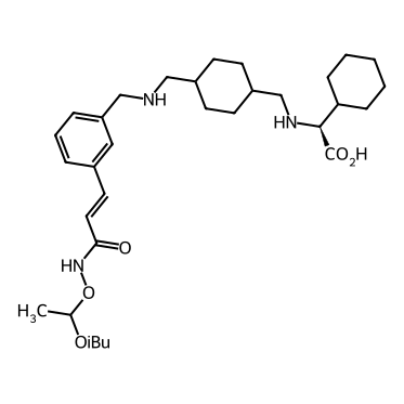 CC(C)COC(C)ONC(=O)C=Cc1cccc(CNCC2CCC(CN[C@H](C(=O)O)C3CCCCC3)CC2)c1